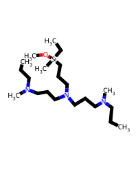 CCCN(C)CCCN(CCCN(C)CCC)CCC[Si](C)(CC)OC